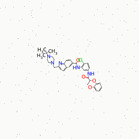 CC(C)(C)N1CCN(Cc2ccc3cc(C(=O)Nc4cc(NC(=O)C5COc6ccccc6O5)ccc4Cl)ccc3n2)CC1